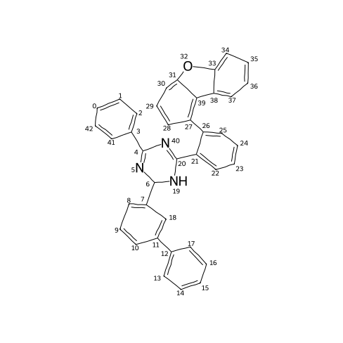 c1ccc(C2=NC(c3cccc(-c4ccccc4)c3)NC(c3ccccc3-c3cccc4oc5ccccc5c34)=N2)cc1